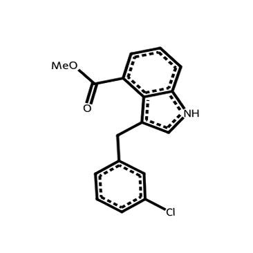 COC(=O)c1cccc2[nH]cc(Cc3cccc(Cl)c3)c12